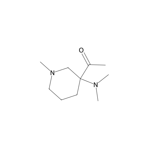 CC(=O)C1(N(C)C)CCCN(C)C1